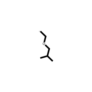 [CH]COCC(C)C